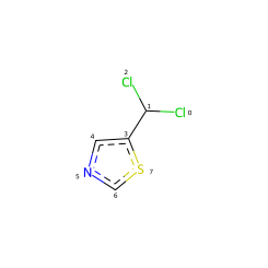 ClC(Cl)c1cncs1